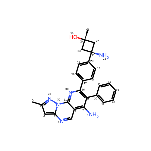 Cc1cc2ncc3c(N)c(-c4ccccc4)c(-c4ccc([C@]5(N)C[C@](C)(O)C5)cc4)nc3n2n1